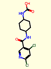 O=C(O)NC1CCC(NC(=O)c2cnc(Cl)cc2Cl)CC1